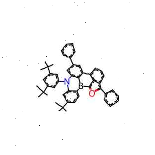 CC(C)(C)c1cc(N2c3cc(C(C)(C)C)ccc3B3c4c(cc(-c5ccccc5)cc42)-c2cccc4c(-c5ccccc5)oc3c24)cc(C(C)(C)C)c1